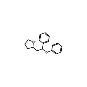 c1ccc(OC(CC2CCCN2)c2ccccc2)cc1